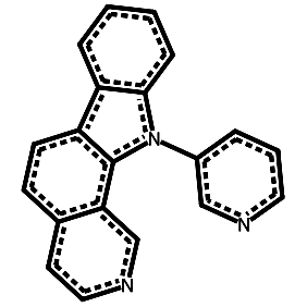 c1cncc(-n2c3ccccc3c3ccc4ccncc4c32)c1